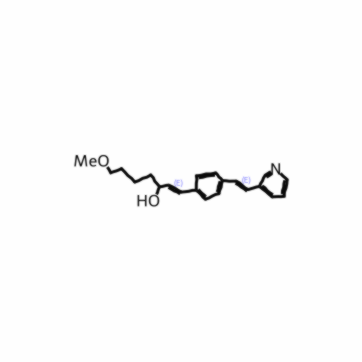 COCCCCC(O)/C=C/c1ccc(/C=C/c2cccnc2)cc1